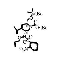 C=CCON([C@H]1CN(C(=O)OC(C)(C)C)[C@@H](CO[Si](C)(C)C(C)(C)C)C=C1C(=C)C)S(=O)(=O)c1ccccc1[N+](=O)[O-]